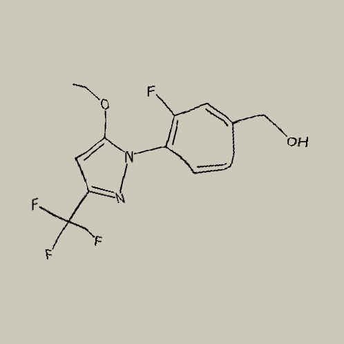 COc1cc(C(F)(F)F)nn1-c1ccc(CO)cc1F